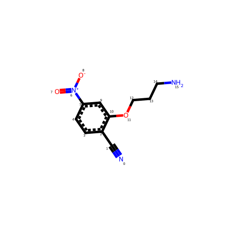 N#Cc1ccc([N+](=O)[O-])cc1OCCCN